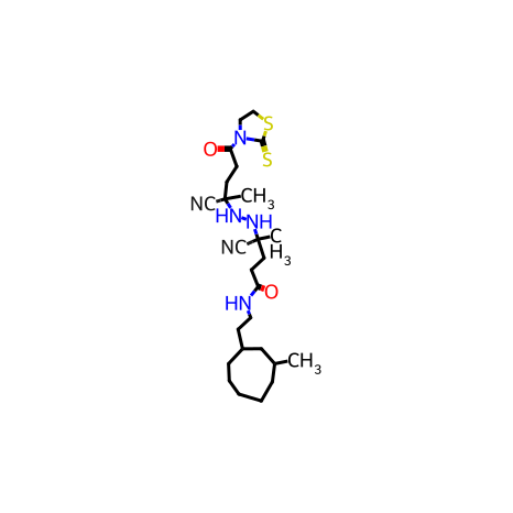 CC1CCCCCC(CCNC(=O)CCC(C)(C#N)NNC(C)(C#N)CCC(=O)N2CCSC2=S)C1